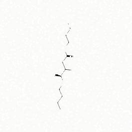 CCCCOC(=O)CC(O)C(=S)OCCCC